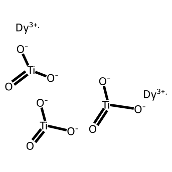 [Dy+3].[Dy+3].[O]=[Ti]([O-])[O-].[O]=[Ti]([O-])[O-].[O]=[Ti]([O-])[O-]